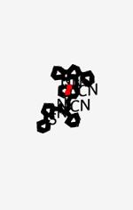 N#Cc1cc(-c2nc(-c3cccc4c3sc3ccccc34)nc(-c3ccccc3)c2C#N)ccc1-n1c2ccccc2c2ccc3c4ccccc4n(-c4ccccc4)c3c21